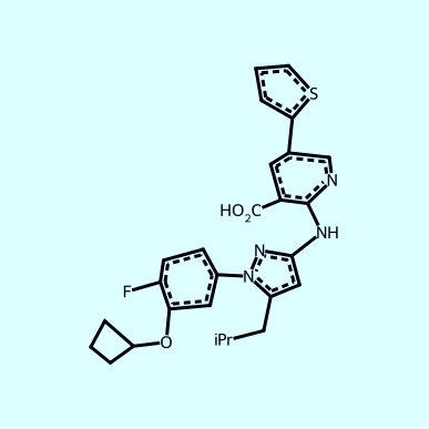 CC(C)Cc1cc(Nc2ncc(-c3cccs3)cc2C(=O)O)nn1-c1ccc(F)c(OC2CCC2)c1